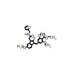 CCOC(=O)c1c(OC)cc(/C=C2\C(F)=C(CC(=O)NCc3ccco3)c3cc(OC)ccc32)cc1OC